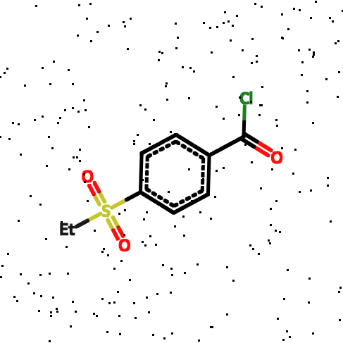 CCS(=O)(=O)c1ccc(C(=O)Cl)cc1